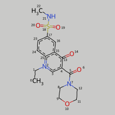 CCn1cc(C(=O)N2CCOCC2)c(=O)c2cc(S(=O)(=O)NC)ccc21